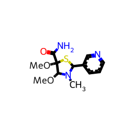 COC1N(C)C(c2cccnc2)SC1(OC)C(N)=O